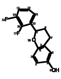 Oc1ccc2c(c1)CCC(c1cccc(F)c1F)O2